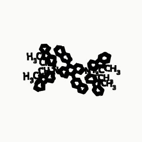 CC1(C)C2=CC(N(c3ccc4c(c3)C(C)(C)c3ccccc3-4)c3ccc4c(-c5ccc6ccccc6c5)c5cc(N(c6ccc7c(c6)C(C)(C)c6ccccc6-7)c6ccc7c(c6)C(C)(C)c6ccccc6-7)ccc5c(-c5ccc6ccccc6c5)c4c3)=CCC2c2ccccc21